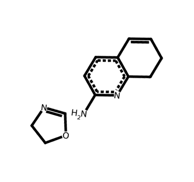 C1=NCCO1.Nc1ccc2c(n1)CCC=C2